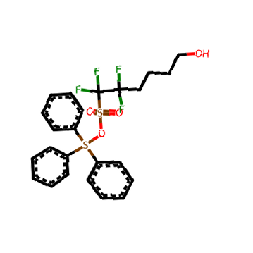 O=S(=O)(OS(c1ccccc1)(c1ccccc1)c1ccccc1)C(F)(F)C(F)(F)CCCCO